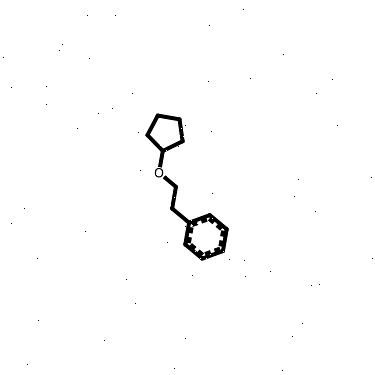 c1ccc(CCOC2CCCC2)cc1